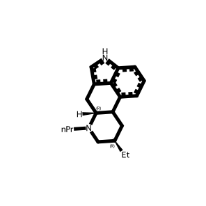 CCCN1C[C@H](CC)CC2c3cccc4[nH]cc(c34)C[C@H]21